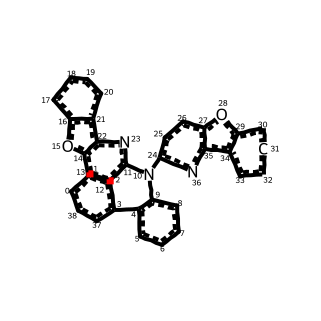 c1ccc(-c2ccccc2N(c2ccc3oc4ccccc4c3n2)c2ccc3oc4ccccc4c3n2)cc1